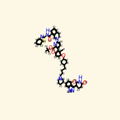 Cc1c(OC2CCC(CCCCN3CCC[C@@H](c4ccc5c(C6CCC(=O)NC6=O)nn(C)c5c4)C3)CC2)cccc1-c1ccc(N2CCc3cccc(C(=O)Nc4nc5ccccc5s4)c3C2)nc1C(=O)OC(C)(C)C